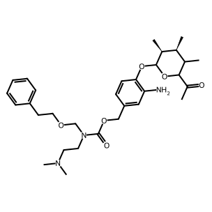 CC(=O)C1OC(Oc2ccc(COC(=O)N(CCN(C)C)COCCc3ccccc3)cc2N)[C@@H](C)[C@@H](C)C1C